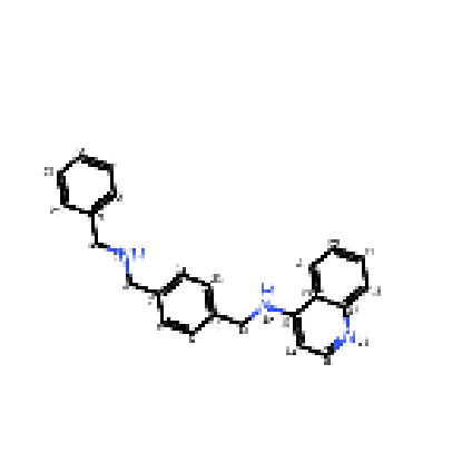 c1ccc(CNCc2ccc(CNc3ccnc4ccccc34)cc2)cc1